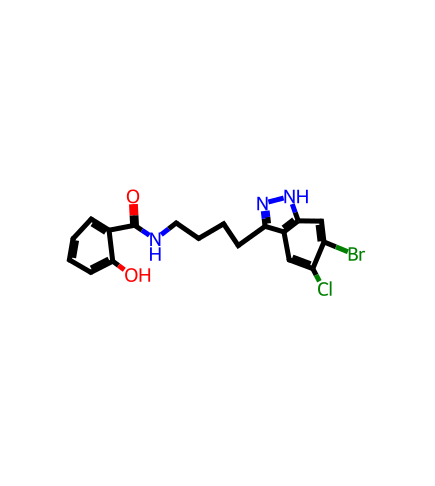 O=C(NCCCCc1n[nH]c2cc(Br)c(Cl)cc12)c1ccccc1O